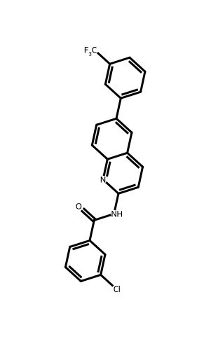 O=C(Nc1ccc2cc(-c3cccc(C(F)(F)F)c3)ccc2n1)c1cccc(Cl)c1